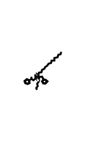 CCCCCCCCCCCCCCCn1cc(CC(C)c2ccccc2)[n+](CCCCC)c1Cc1ccccc1